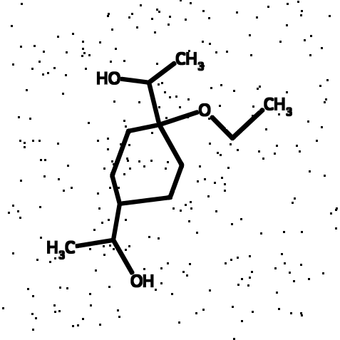 CCOC1(C(C)O)CCC(C(C)O)CC1